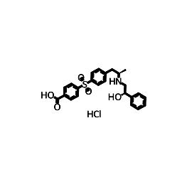 C[C@H](Cc1ccc(S(=O)(=O)c2ccc(C(=O)O)cc2)cc1)NC[C@H](O)c1ccccc1.Cl